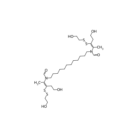 CC(=C(CCO)SSCCO)N(C=O)CCCCCCCCCCCCN(C=O)C(C)=C(CCO)SSCCO